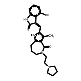 Bc1cccc2c1/C(=C/c1[nH]c3c(c1C)C(=O)N(CCN1CCCC1)CCC3)C(=O)N2